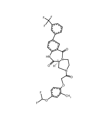 Cc1cc(OC(F)F)ccc1OCC(=O)N1CCN2C(=O)c3cc(-c4cccc(C(F)(F)F)c4)ccc3NC(=O)[C@@H]2C1